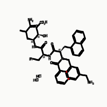 CC(C)C[C@H](NC(=O)[C@H](Cc1cccc2ccccc12)N(Cc1cccc(CN)c1)C(=O)c1cccnc1)C(=O)N[C@@H](CC(C)C(N)=O)[C@@H](O)CC(=O)O.Cl.Cl